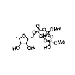 COP(=O)(O)OP(=O)(OC)OP(=O)(OC)OC[C@H]1O[C@@H](C)C(O)C1O